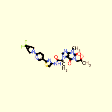 CC(=O)Cn1c(=O)c2c(ncn2[C@@H](C)C(=O)Nc2csc(-c3ccc(N4CC5C(C4)C5(F)F)nc3)n2)n(C)c1=O